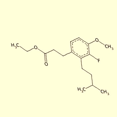 CCOC(=O)CCc1ccc(OC)c(F)c1CCC(C)C